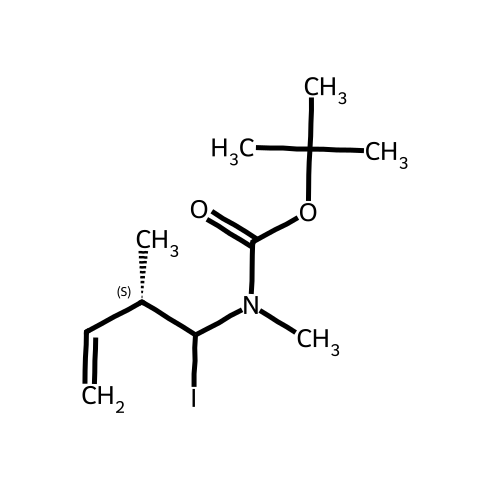 C=C[C@H](C)C(I)N(C)C(=O)OC(C)(C)C